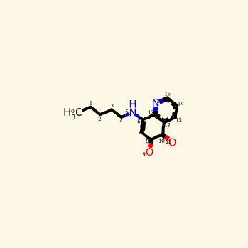 CCCCCNC1=CC(=O)C(=O)c2cccnc21